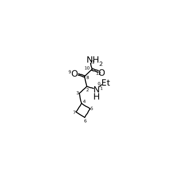 CCNC(CC1CCC1)C(=O)C(N)=O